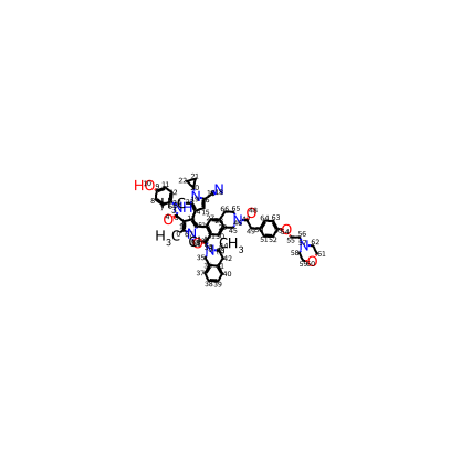 Cc1c(C(=O)Nc2ccc(O)cc2)c(-c2cc(C#N)n(C3CC3)c2C)c(-c2cc3c(cc2C(=O)N2Cc4ccccc4C[C@H]2C)CN(C(=O)Cc2ccc(OCCN4CCOCC4)cc2)CC3)n1C